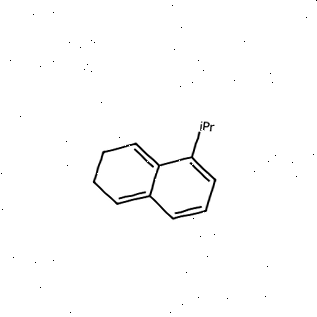 CC(C)c1cccc2c1=CCCC=2